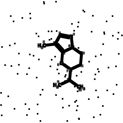 Cc1cnn2c1ON(C(C)C)CC2